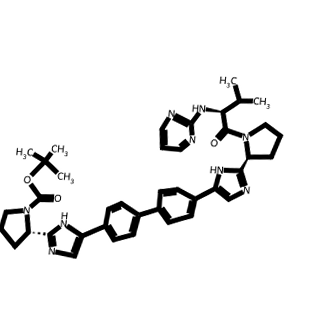 CC(C)[C@H](Nc1ncccn1)C(=O)N1CCC[C@H]1c1ncc(-c2ccc(-c3ccc(-c4cnc([C@@H]5CCCN5C(=O)OC(C)(C)C)[nH]4)cc3)cc2)[nH]1